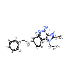 CCCCc1nc2c(N)nc3cc(CCc4ccccc4)ccc3c2n1CC(C)C